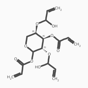 C=CC(=O)OC1OC[C@@H](OC(O)C=C)[C@@H](OC(=O)C=C)[C@@H]1OC(O)C=C